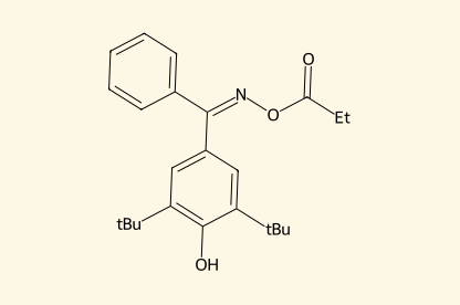 CCC(=O)ON=C(c1ccccc1)c1cc(C(C)(C)C)c(O)c(C(C)(C)C)c1